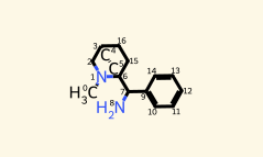 CN1CC2CCC1(C(N)c1ccccc1)CC2